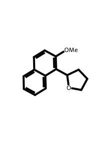 COc1ccc2ccccc2c1[C]1CCCO1